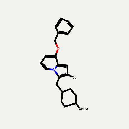 CCCCCC1CCC(Cc2c(CC)cc3c(OCc4ccccc4)cccn23)CC1